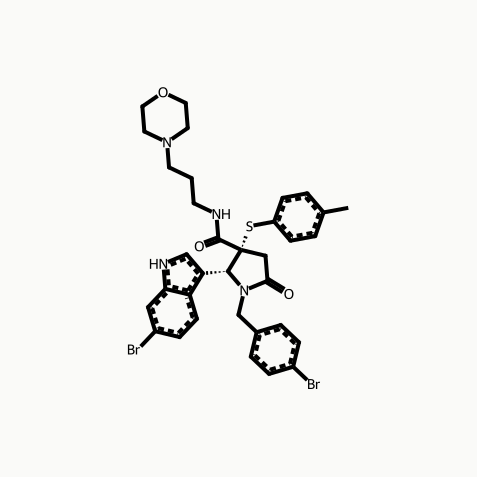 Cc1ccc(S[C@]2(C(=O)NCCCN3CCOCC3)CC(=O)N(Cc3ccc(Br)cc3)[C@@H]2c2c[nH]c3cc(Br)ccc23)cc1